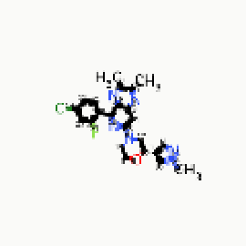 Cc1nc2cc(N3CCO[C@@H](c4cnn(C)c4)C3)nc(-c3ccc(Cl)cc3F)c2nc1C